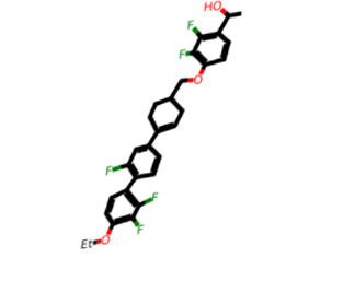 CCOc1ccc(-c2ccc(C3=CCC(COc4ccc(C(C)O)c(F)c4F)CC3)cc2F)c(F)c1F